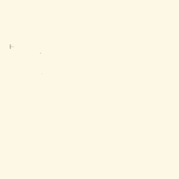 CC(C)C1CCN(CCCN(C)C)CC1